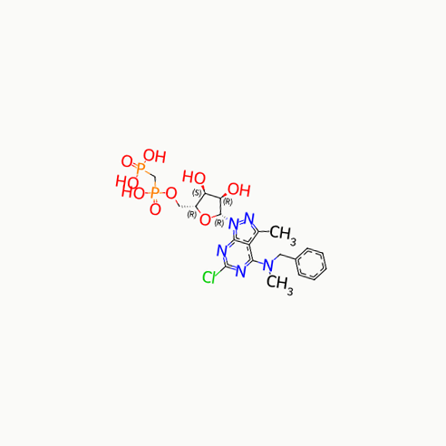 Cc1nn([C@@H]2O[C@H](COP(=O)(O)CP(=O)(O)O)[C@@H](O)[C@H]2O)c2nc(Cl)nc(N(C)Cc3ccccc3)c12